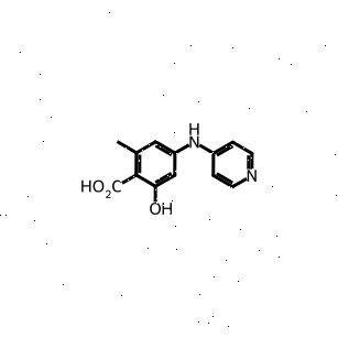 Cc1cc(Nc2ccncc2)cc(O)c1C(=O)O